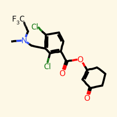 CN(Cc1c(Cl)ccc(C(=O)OC2=CC(=O)CCC2)c1Cl)CC(F)(F)F